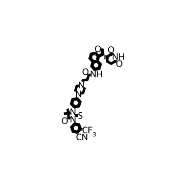 CC1(C)C(=O)N(c2ccc(C#N)c(C(F)(F)F)c2)C(=S)N1c1ccc(N2CCN(CCC(=O)Nc3ccc4c(ccc5occ([C@H]6CCC(=O)NC6=O)c54)c3)CC2)cc1